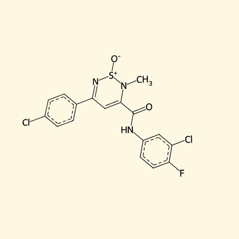 CN1C(C(=O)Nc2ccc(F)c(Cl)c2)=CC(c2ccc(Cl)cc2)=N[S+]1[O-]